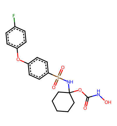 O=C(NO)OC1(NS(=O)(=O)c2ccc(Oc3ccc(F)cc3)cc2)CCCCC1